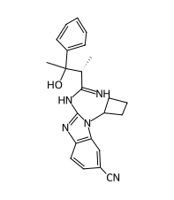 C[C@H](C(=N)Nc1nc2ccc(C#N)cc2n1C1CCC1)C(C)(O)c1ccccc1